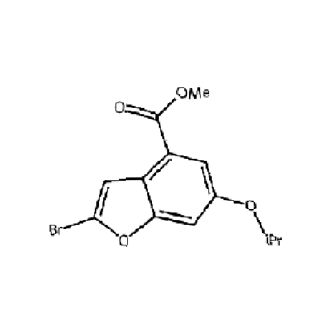 COC(=O)c1cc(OC(C)C)cc2oc(Br)cc12